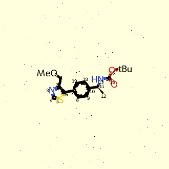 COCc1ncsc1-c1ccc([C@H](C)NC(=O)OC(C)(C)C)cc1